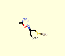 CSC/C(CSC(C)(C)C)=N\OC(C)N